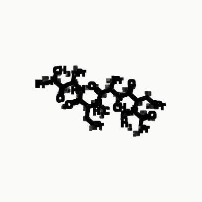 CCCC(NC(=O)C(CC(C)C)N(C)C(=O)C(C(C)C)N(C)C(=O)C(CC(C)C)N(C)C(=O)C(C)C)C(=O)N(C)C(C)C